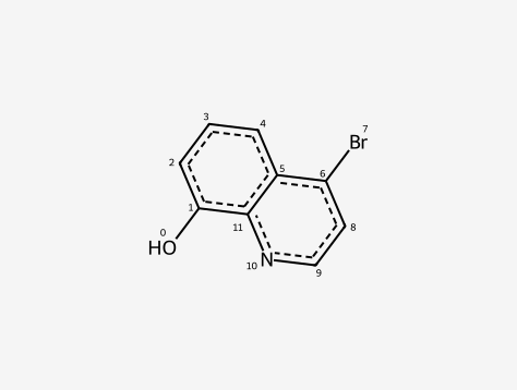 Oc1cccc2c(Br)ccnc12